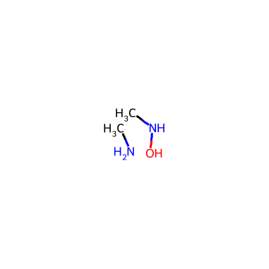 CN.CNO